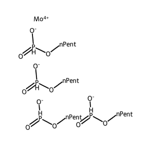 CCCCCO[PH](=O)[O-].CCCCCO[PH](=O)[O-].CCCCCO[PH](=O)[O-].CCCCCO[PH](=O)[O-].[Mo+4]